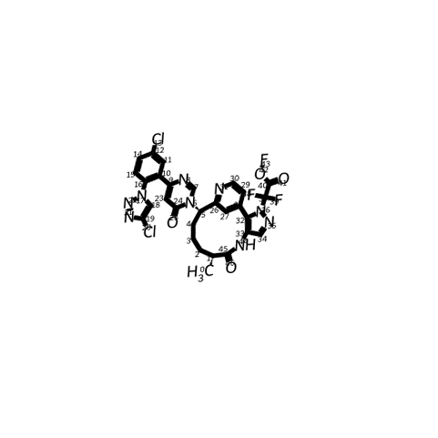 C[C@@H]1CCC[C@H](n2cnc(-c3cc(Cl)ccc3-n3cc(Cl)nn3)cc2=O)c2cc(ccn2)-c2c(cnn2C(F)(F)C(=O)OF)NC1=O